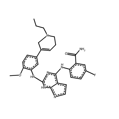 CCCN1CCC=C(c2ccc(OC)c(Nc3nc(Nc4ccc(F)cc4C(N)=O)c4ccnc-4[nH]3)c2)C1